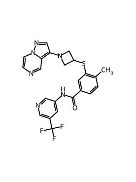 Cc1ccc(C(=O)Nc2cncc(C(F)(F)F)c2)cc1SC1CN(c2cnn3ccncc23)C1